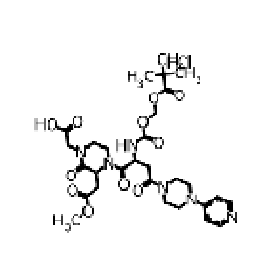 COC(=O)CC1C(=O)N(CC(=O)O)CCN1C(=O)C(CC(=O)N1CCN(c2ccncc2)CC1)NC(=O)OCOC(=O)C(C)(C)C.Cl